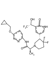 C[C@@H](C(=O)Nc1ccc(OCC2CC2)nn1)N1CCC(F)(F)[C@@H](c2c[nH]c(=O)c([C@@H](O)C(F)(F)F)c2)C1